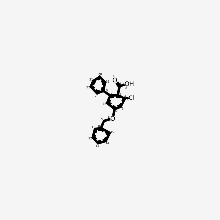 O=C(O)c1c(Cl)cc(OCc2ccccc2)cc1-c1ccccc1